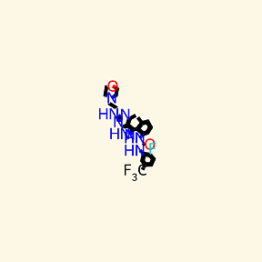 Cc1cccc(NC(=O)Nc2cc(C(F)(F)F)ccc2F)c1-c1n[nH]c2nc(NCCN3CCOCC3)nc(C)c12